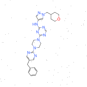 c1ccc(Cc2cnc(N3CCN(c4ncnc(Nc5cnn(CC6CCOCC6)c5)n4)CC3)nc2)cc1